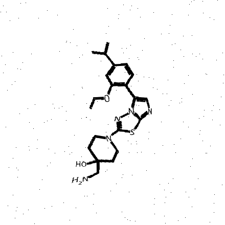 CCOc1cc(C(C)C)ccc1-c1cnc2sc(N3CCC(O)(CN)CC3)nn12